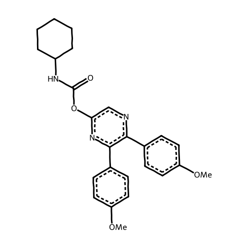 COc1ccc(-c2ncc(OC(=O)NC3CCCCC3)nc2-c2ccc(OC)cc2)cc1